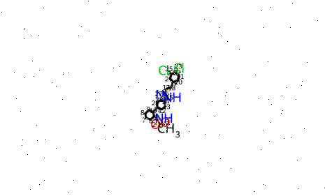 CS(=O)(=O)Nc1ccccc1-c1ccc2[nH]c(/C=C/c3ccc(Cl)c(Cl)c3)nc2c1